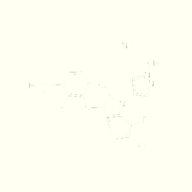 Cn1cc(-n2c(Cl)c(Sc3cccc(C(=O)O)c3F)c3ccc(Cl)c(F)c32)cn1.[Na]